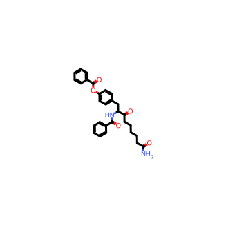 NC(=O)CCCCCC(=O)C(Cc1ccc(OC(=O)c2ccccc2)cc1)NC(=O)c1ccccc1